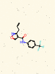 C=CCc1nocc1C(=O)Nc1ccc(C(F)(F)F)cc1